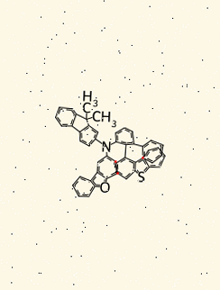 CC1(C)c2ccccc2-c2ccc(N(c3ccc4oc5ccccc5c4c3)c3cccc(-c4ccccc4)c3-c3cccc4sc5ccccc5c34)cc21